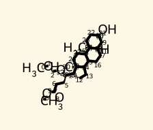 COCO[C@H](CCC(=O)OC)[C@H]1CCC2C3CC[C@H]4C[C@@H](O)CC[C@]4(C)C3CC[C@@]21C